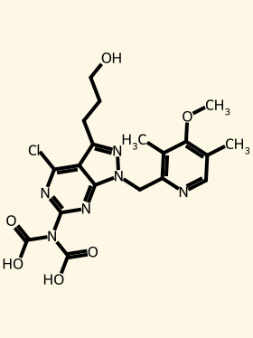 COc1c(C)cnc(Cn2nc(CCCO)c3c(Cl)nc(N(C(=O)O)C(=O)O)nc32)c1C